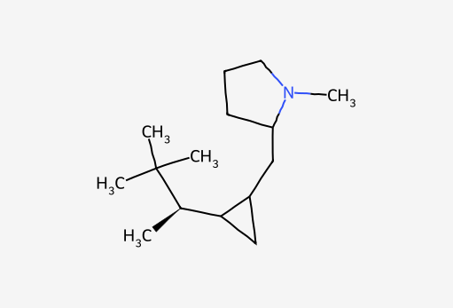 C[C@H](C1CC1CC1CCCN1C)C(C)(C)C